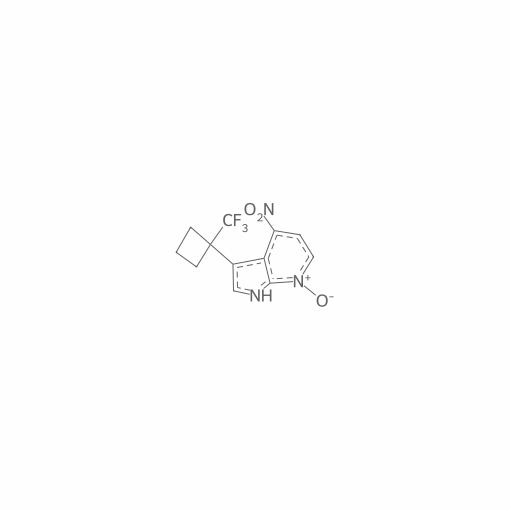 O=[N+]([O-])c1cc[n+]([O-])c2[nH]cc(C3(C(F)(F)F)CCC3)c12